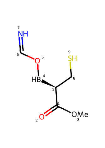 COC(=O)[C@@H](BOC=N)CS